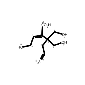 C=CCC(CO)(CO)C(=CCO)C(=O)O